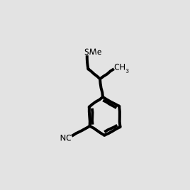 CSCC(C)c1cccc(C#N)c1